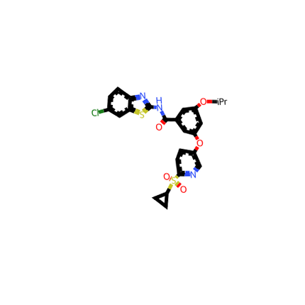 CC(C)Oc1cc(Oc2ccc(S(=O)(=O)C3CC3)nc2)cc(C(=O)Nc2nc3ccc(Cl)cc3s2)c1